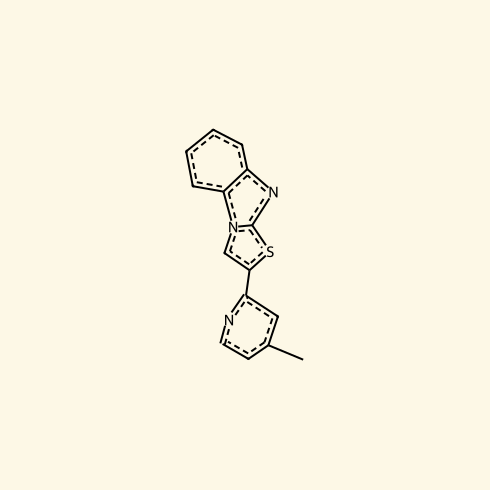 Cc1ccnc(-c2cn3c(nc4ccccc43)s2)c1